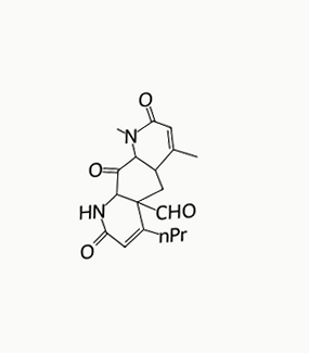 CCCC1=CC(=O)NC2C(=O)C3C(CC12C=O)C(C)=CC(=O)N3C